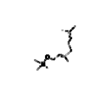 CC(C)=CCCC(C)=CCO[Si](C)(C)C